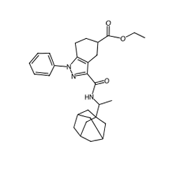 CCOC(=O)C1CCc2c(c(C(=O)NC(C)C34CC5CC(CC(C5)C3)C4)nn2-c2ccccc2)C1